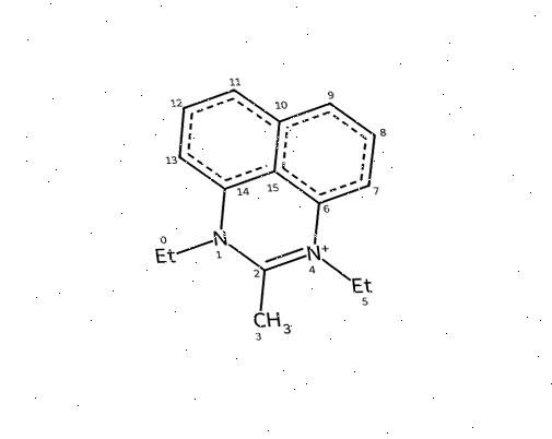 CCN1C(C)=[N+](CC)c2cccc3cccc1c23